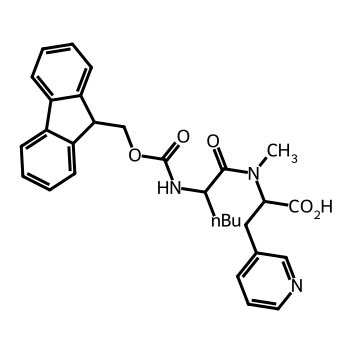 CCCCC(NC(=O)OCC1c2ccccc2-c2ccccc21)C(=O)N(C)C(Cc1cccnc1)C(=O)O